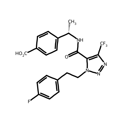 C[C@H](NC(=O)c1c(C(F)(F)F)nnn1CCc1ccc(F)cc1)c1ccc(C(=O)O)cc1